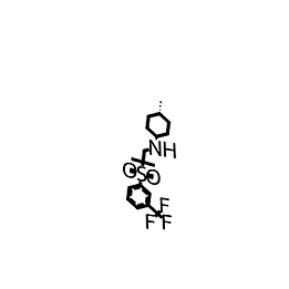 CC(C)(CN[C@H]1CC[C@@H](C)CC1)S(=O)(=O)c1cccc(C(F)(F)F)c1